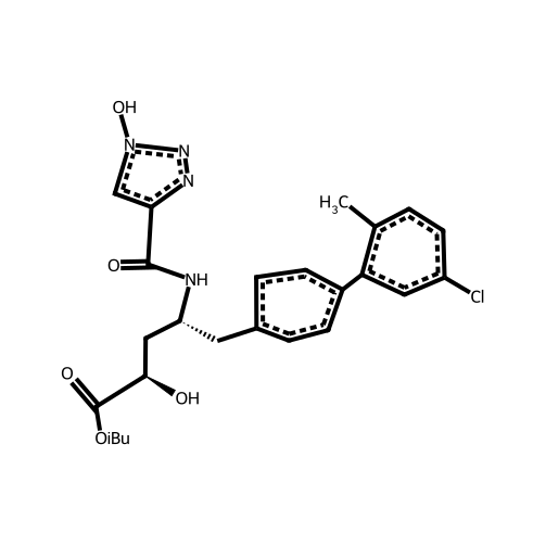 Cc1ccc(Cl)cc1-c1ccc(C[C@H](C[C@@H](O)C(=O)OCC(C)C)NC(=O)c2cn(O)nn2)cc1